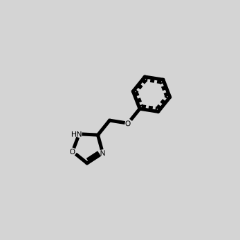 C1=N[C](COc2ccccc2)NO1